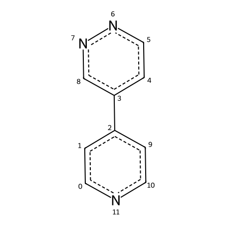 c1cc(-c2ccnnc2)ccn1